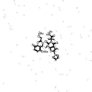 CCCCOCC(=O)O[C@H](Cn1c(=O)n(C(C)(C)C(=O)NC(C)C)c(=O)c2c(C)c(-n3nccn3)sc21)c1cc(F)ccc1OC